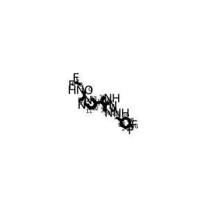 O=C(NCC(F)F)c1cnc2ccc(-c3c[nH]c4nc(NCC5CCC(F)(F)CC5)ncc34)cn12